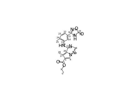 CCOC(=O)c1cn2ncnc(Nc3cc(-c4noc(=O)[nH]4)ccc3C)c2c1C